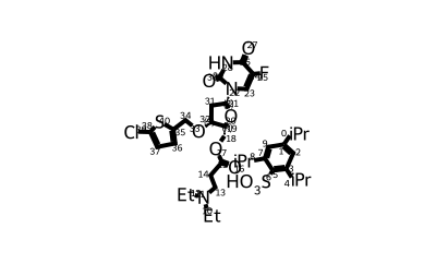 CC(C)c1cc(C(C)C)c(S(=O)(=O)O)c(C(C)C)c1.CCN(CC)CCC(=O)OC[C@H]1O[C@@H](n2cc(F)c(=O)[nH]c2=O)C[C@@H]1OCc1ccc(Cl)s1